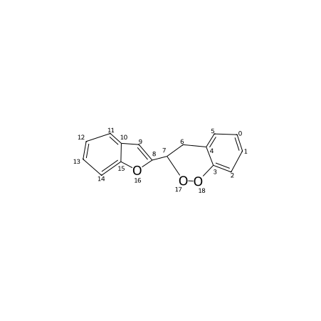 c1ccc2c(c1)CC(c1cc3ccccc3o1)OO2